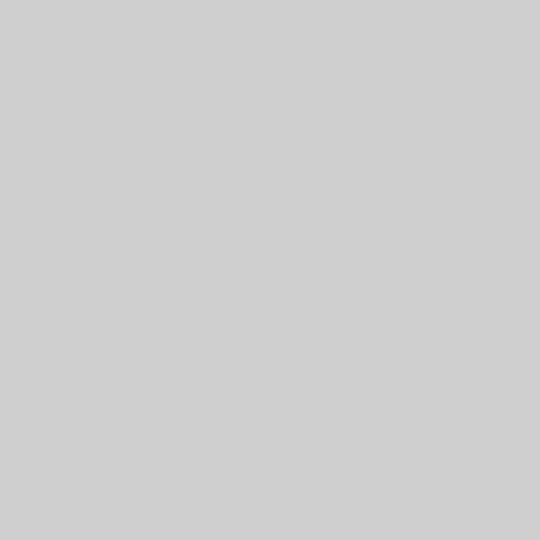 CCc1cc(N)c(O)c(C(=O)c2ccc(Cl)cc2)c1